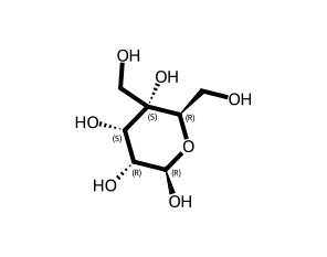 OC[C@H]1O[C@@H](O)[C@H](O)[C@H](O)[C@@]1(O)CO